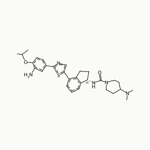 CC(C)Oc1ccc(-c2ncc(-c3cccc4c3CC[C@@H]4NC(=O)N3CCC(N(C)C)CC3)s2)cc1N